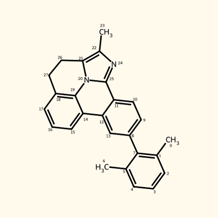 Cc1cccc(C)c1-c1ccc2c(c1)c1cccc3c1n1c(c(C)nc21)CC3